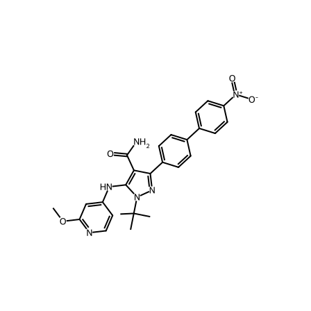 COc1cc(Nc2c(C(N)=O)c(-c3ccc(-c4ccc([N+](=O)[O-])cc4)cc3)nn2C(C)(C)C)ccn1